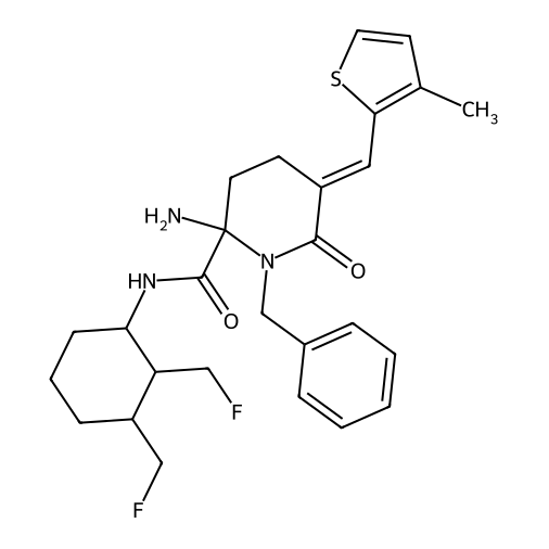 Cc1ccsc1/C=C1\CCC(N)(C(=O)NC2CCCC(CF)C2CF)N(Cc2ccccc2)C1=O